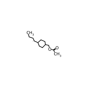 CCC[CH]C1CCC(COC(C)=O)CC1